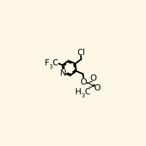 CS(=O)(=O)OCc1cnc(C(F)(F)F)cc1CCl